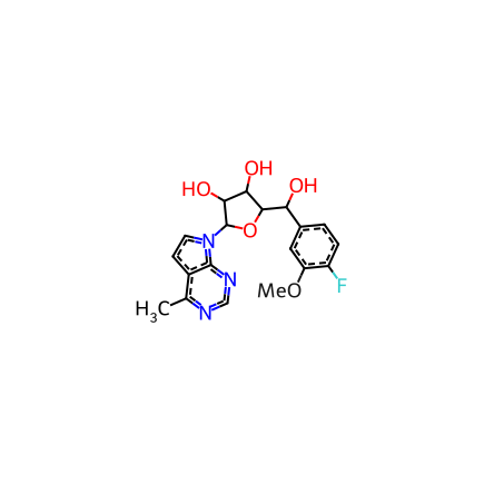 COc1cc(C(O)C2OC(n3ccc4c(C)ncnc43)C(O)C2O)ccc1F